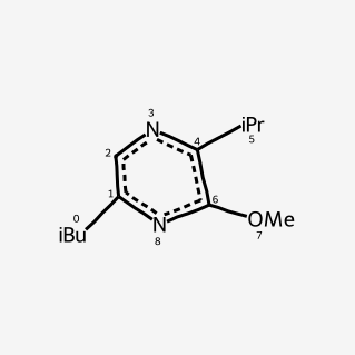 CCC(C)c1cnc(C(C)C)c(OC)n1